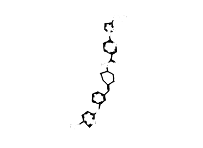 CCOC(=O)c1ccn(-c2ccc(C(=O)NC3CCC(=Cc4cccc(Oc5ccc(C(F)(F)F)cn5)c4)CC3)cn2)n1